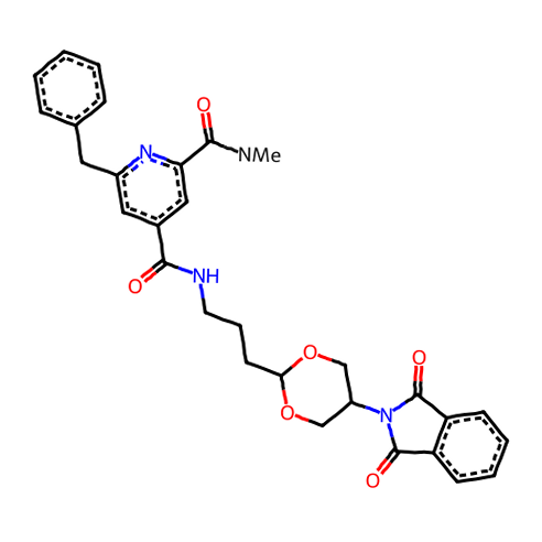 CNC(=O)c1cc(C(=O)NCCCC2OCC(N3C(=O)c4ccccc4C3=O)CO2)cc(Cc2ccccc2)n1